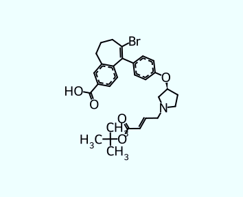 CC(C)(C)OC(=O)/C=C/CN1CC[C@H](Oc2ccc(C3=C(Br)CCCc4cc(C(=O)O)ccc43)cc2)C1